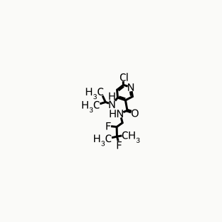 CC(C)Nc1cc(Cl)ncc1C(=O)NCC(F)C(C)(C)F